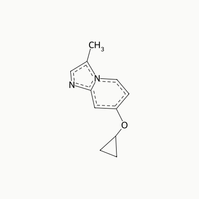 Cc1cnc2cc(OC3CC3)ccn12